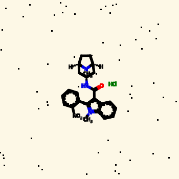 CN1[C@@H]2CC[C@H]1C[C@@H](NC(=O)c1c(-c3ccccc3[N+](=O)[O-])n(C)c3ccccc13)C2.Cl